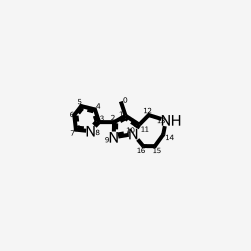 Cc1c(-c2ccccn2)nn2c1CNCCC2